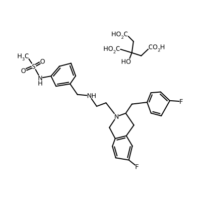 CS(=O)(=O)Nc1cccc(CNCCN2Cc3ccc(F)cc3CC2Cc2ccc(F)cc2)c1.O=C(O)CC(O)(CC(=O)O)C(=O)O